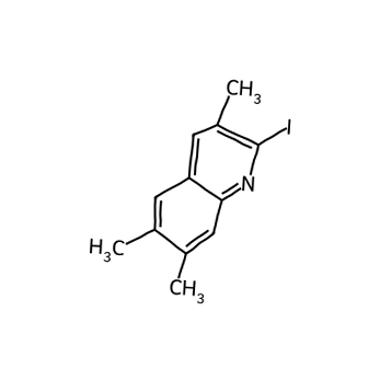 Cc1cc2cc(C)c(I)nc2cc1C